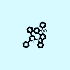 O=P1(c2ccccc2)c2ccccc2-c2c1ccc1c3ccccc3n(-c3cc(-c4ccccc4)cc(-c4ccccc4)n3)c21